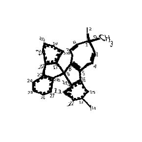 CC1(I)C=CC2=C(C=C1)C1(c3ccc(I)cc32)c2ccccc2-c2ccccc21